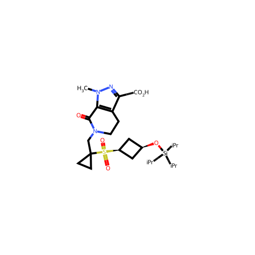 CC(C)[Si](O[C@H]1C[C@@H](S(=O)(=O)C2(CN3CCc4c(C(=O)O)nn(C)c4C3=O)CC2)C1)(C(C)C)C(C)C